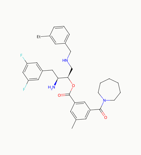 CCc1cccc(CNC[C@@H](OC(=O)c2cc(C)cc(C(=O)N3CCCCCC3)c2)[C@@H](N)Cc2cc(F)cc(F)c2)c1